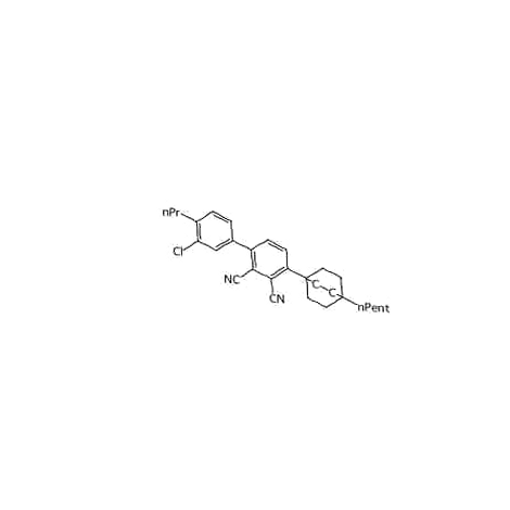 CCCCCC12CCC(c3ccc(-c4ccc(CCC)c(Cl)c4)c(C#N)c3C#N)(CC1)CC2